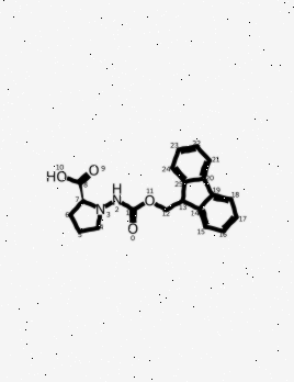 O=C(NN1CCC[C@H]1C(=O)O)OCC1c2ccccc2-c2ccccc21